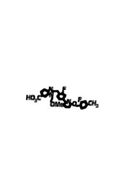 COCCn1c(Cc2ccc(-c3cccc(OCc4ccc(C)cc4F)n3)cc2F)nc2ccc(C(=O)O)cc21